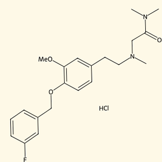 COc1cc(CCN(C)CC(=O)N(C)C)ccc1OCc1cccc(F)c1.Cl